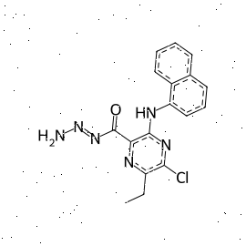 CCc1nc(C(=O)N=NN)c(Nc2cccc3ccccc23)nc1Cl